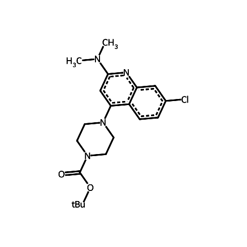 CN(C)c1cc(N2CCN(C(=O)OC(C)(C)C)CC2)c2ccc(Cl)cc2n1